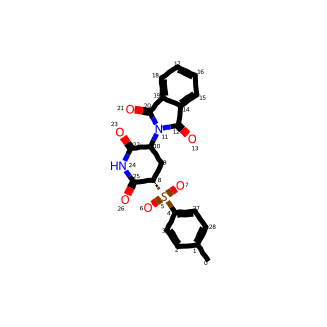 Cc1ccc(S(=O)(=O)[C@H]2CC(N3C(=O)c4ccccc4C3=O)C(=O)NC2=O)cc1